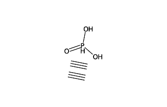 C#C.C#C.O=[PH](O)O